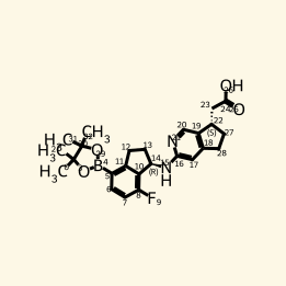 CC1(C)OB(c2ccc(F)c3c2CC[C@H]3Nc2cc3c(cn2)[C@H](CC(=O)O)CC3)OC1(C)C